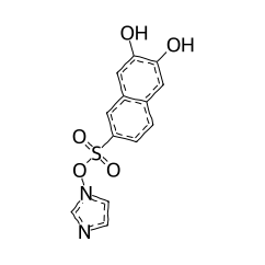 O=S(=O)(On1ccnc1)c1ccc2cc(O)c(O)cc2c1